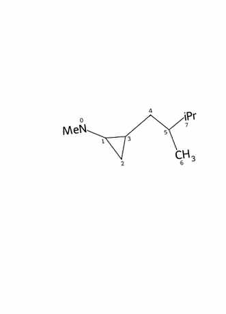 CNC1CC1CC(C)C(C)C